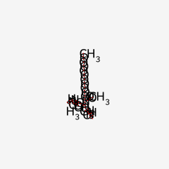 CCCOCCOCCOCCOCCOCCOCCOCCOCCOCCOCCN(CCCC(=O)OC)c1cc(COc2cc3c(cc2C)C(=O)N2c4ccccc4C[C@H]2C=N3)cc(COc2cc3c(cc2OC)C(=O)N2c4ccccc4C[C@H]2C=N3)c1